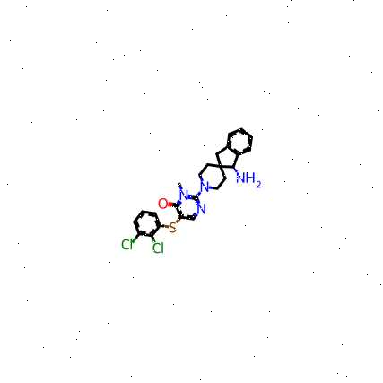 Cn1c(N2CCC3(CC2)Cc2ccccc2[C@H]3N)ncc(Sc2cccc(Cl)c2Cl)c1=O